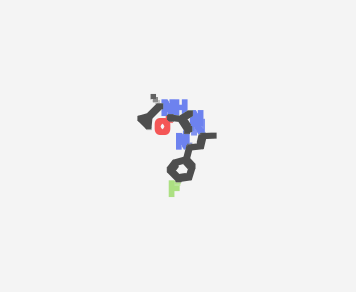 Cc1cc(-c2ccc(F)cc2)nc2c(C(=O)N[C@@H](C)C3CC3)cnn12